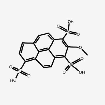 COc1c(S(=O)(=O)O)c2ccc3ccc(S(=O)(=O)O)c4ccc(c1S(=O)(=O)O)c2c34